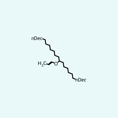 CC=COC(CCCCCCCCCCCCCCCC)CCCCCCCCCCCCCCCCC